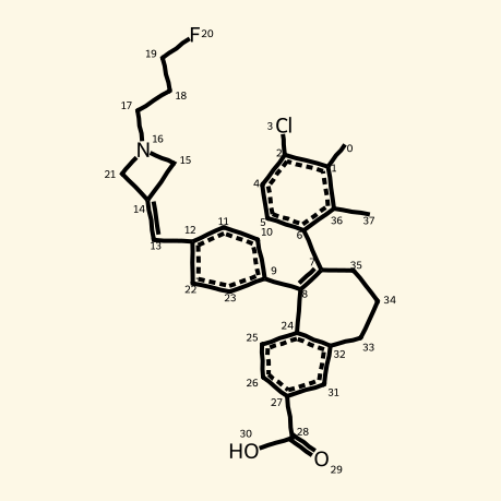 Cc1c(Cl)ccc(C2=C(c3ccc(C=C4CN(CCCF)C4)cc3)c3ccc(C(=O)O)cc3CCC2)c1C